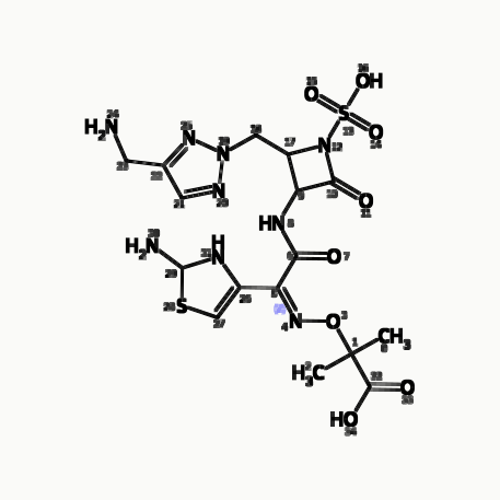 CC(C)(O/N=C(\C(=O)NC1C(=O)N(S(=O)(=O)O)C1Cn1ncc(CN)n1)C1=CSC(N)N1)C(=O)O